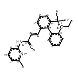 CCOc1ccccc1-c1c(C(F)(F)F)[c]ccc1/C=C/C(=O)Nc1cccc(C)n1